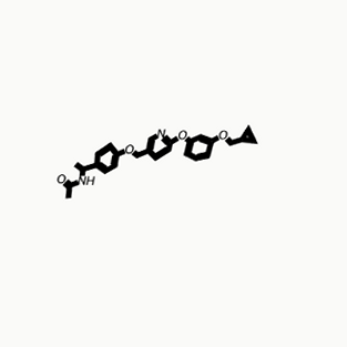 CC(=O)NC(C)c1ccc(OCc2ccc(Oc3cccc(OCC4CC4)c3)nc2)cc1